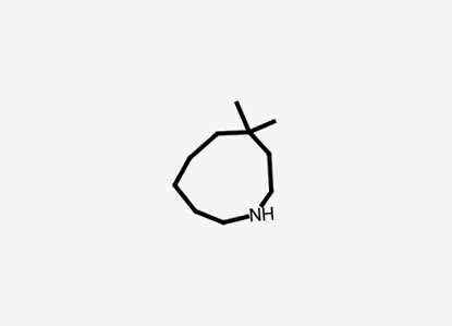 CC1(C)CCCCCNCC1